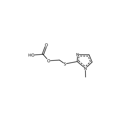 Cn1ccnc1SCOC(=O)O